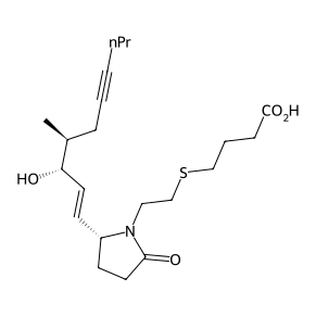 CCCC#CC[C@H](C)[C@@H](O)C=C[C@H]1CCC(=O)N1CCSCCCC(=O)O